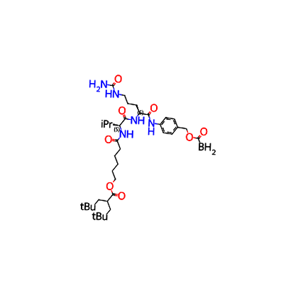 BC(=O)OCc1ccc(NC(=O)[C@H](CCCNC(N)=O)NC(=O)[C@@H](NC(=O)CCCCCOC(=O)C(CC(C)(C)C)CC(C)(C)C)C(C)C)cc1